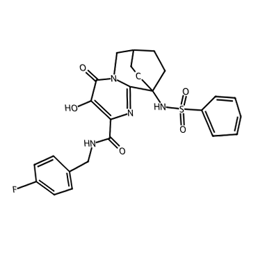 O=C(NCc1ccc(F)cc1)c1nc2n(c(=O)c1O)CC1CCC2(NS(=O)(=O)c2ccccc2)CC1